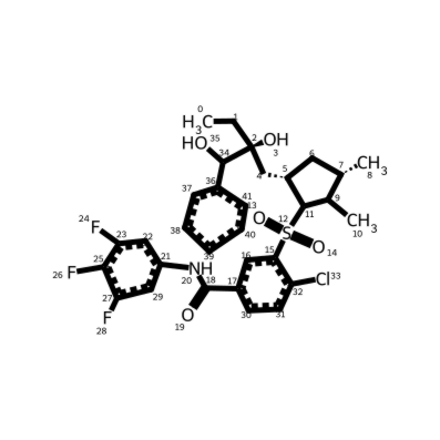 CC[C@](O)(C[C@@H]1C[C@H](C)C(C)C1S(=O)(=O)c1cc(C(=O)Nc2cc(F)c(F)c(F)c2)ccc1Cl)C(O)c1ccccc1